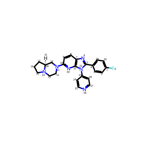 Fc1ccc(-c2nc3ccc(N4CCN5CCC[C@H]5C4)nc3n2-c2ccncc2)cc1